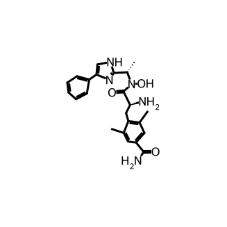 Cc1cc(C(N)=O)cc(C)c1C[C@H](N)C(=O)N(O)[C@@H](C)c1nc(-c2ccccc2)c[nH]1